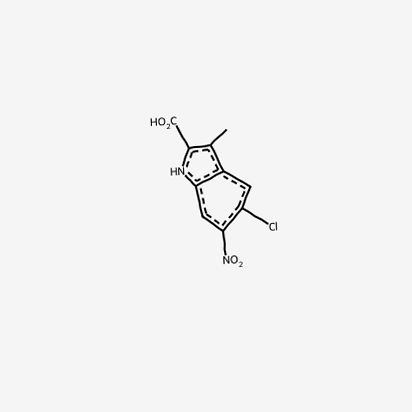 Cc1c(C(=O)O)[nH]c2cc([N+](=O)[O-])c(Cl)cc12